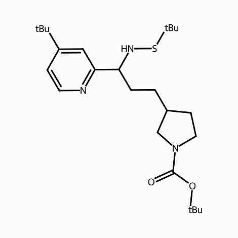 CC(C)(C)OC(=O)N1CCC(CCC(NSC(C)(C)C)c2cc(C(C)(C)C)ccn2)C1